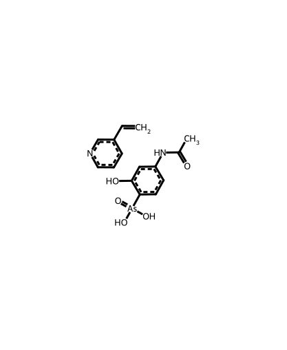 C=Cc1cccnc1.CC(=O)Nc1ccc([As](=O)(O)O)c(O)c1